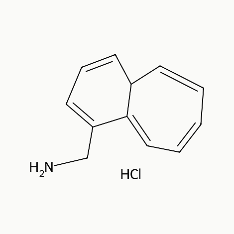 Cl.NCC1=CC=CC2C=CC=CC=C12